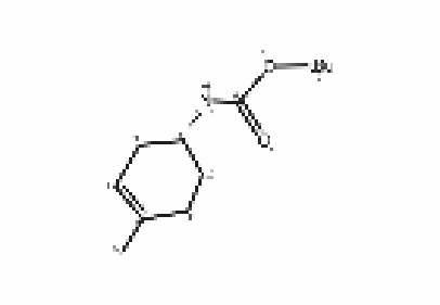 CC1=CC[C@H](NC(=O)OC(C)(C)C)CC1